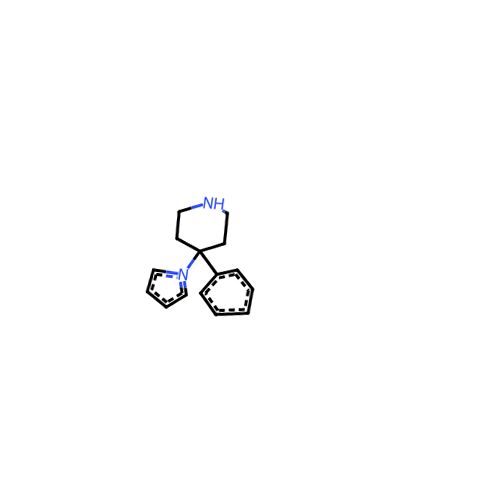 c1ccc(C2(n3cccc3)CCNCC2)cc1